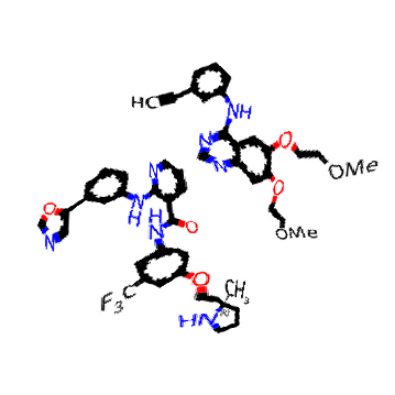 C#Cc1cccc(Nc2ncnc3cc(OCCOC)c(OCCOC)cc23)c1.C[C@]1(COc2cc(NC(=O)c3cccnc3Nc3cccc(-c4cnco4)c3)cc(C(F)(F)F)c2)CCCN1